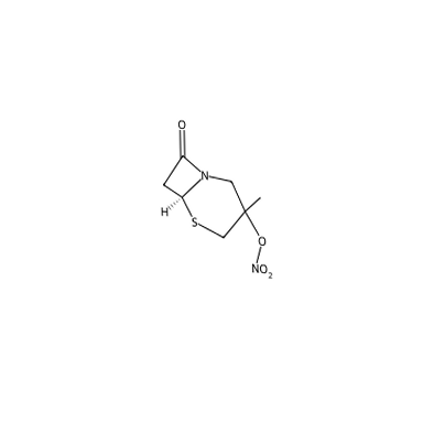 CC1(O[N+](=O)[O-])CS[C@H]2CC(=O)N2C1